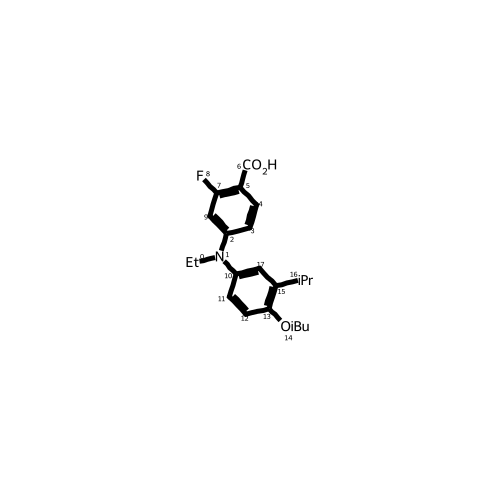 CCN(c1ccc(C(=O)O)c(F)c1)c1ccc(OCC(C)C)c(C(C)C)c1